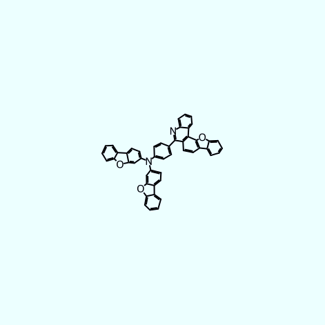 c1ccc2c(c1)nc(-c1ccc(N(c3ccc4c(c3)oc3ccccc34)c3ccc4c(c3)oc3ccccc34)cc1)c1ccc3c4ccccc4oc3c12